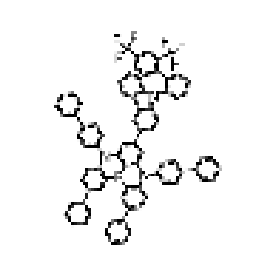 FC(F)(F)c1ccc(-c2ccccc2-n2c3ccccc3c3cc(-c4cc5c6c(c4)N(c4ccc(-c7ccccc7)cc4)c4ccc(-c7ccccc7)cc4B6c4cc(-c6ccccc6)ccc4N5c4ccc(-c5ccccc5)cc4)ccc32)c(C(F)(F)F)c1